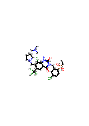 CCS(=O)(=O)c1ccc(Cl)cc1Cn1c(=O)[nH]c2c(Cl)c(CN3CC[C@H](CN(C)C)C3)c(C(F)(F)F)cc2c1=O